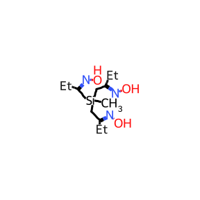 CCC(C[Si](C)(CC(CC)=NO)CC(CC)=NO)=NO